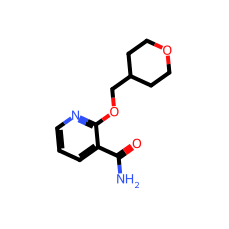 NC(=O)c1cccnc1OCC1CCOCC1